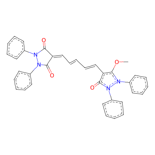 COc1c(C=CC=CC=C2C(=O)N(c3ccccc3)N(c3ccccc3)C2=O)c(=O)n(-c2ccccc2)n1-c1ccccc1